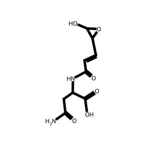 NC(=O)CC(NC(=O)/C=C/C1OC1O)C(=O)O